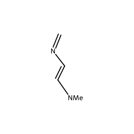 C=NC=CNC